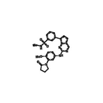 COc1ccc(Nc2ncc3ccc(-c4cccc(S(=O)(=O)NC(C)(C)C)c4)n3n2)cc1N1CCCC1=O